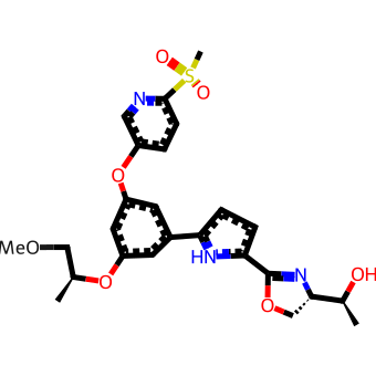 COC[C@H](C)Oc1cc(Oc2ccc(S(C)(=O)=O)nc2)cc(-c2ccc(C3=N[C@H]([C@H](C)O)CO3)[nH]2)c1